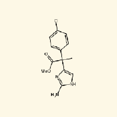 COC(=O)C(C)(c1ccc(Cl)cc1)c1c[nH]c(N)n1